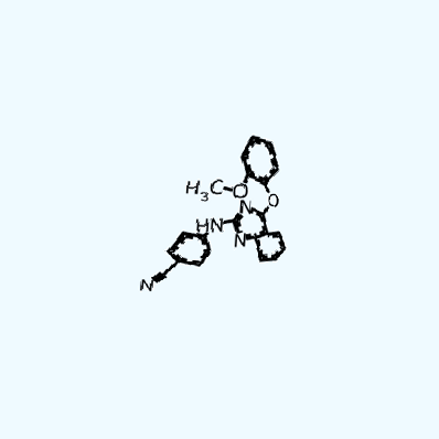 COc1ccccc1Oc1nc(Nc2ccc(C#N)cc2)nc2ccccc12